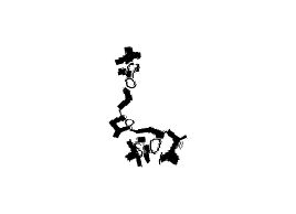 C=C(I)[C@H](C)C[C@@H](CC[C@@H]1O[C@@H](CCCO[Si](C)(C)C(C)(C)C)CC1=C)O[Si](C)(C)C(C)(C)C